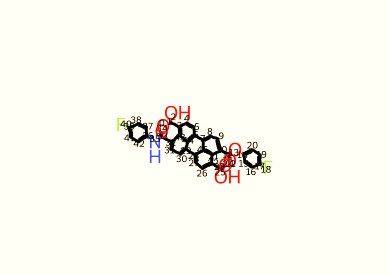 O=C(O)c1ccc2c3ccc(C(=O)Oc4ccc(F)cc4)c4c(C(=O)O)ccc(c5ccc(C(=O)Nc6ccc(F)cc6)c1c52)c43